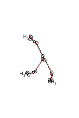 COC(=O)C=Cc1ccc(OCCCCCCCCCCCCOCC(COCCCCCCCCCCCCOc2ccc(C=CC(=O)OC)cc2)OCCCCCCCCCCCCOc2ccc(C=CC(=O)OC)cc2)cc1